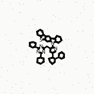 c1ccc(-c2nc(Cc3cc(-c4ccccc4-c4ccccc4)cnc3-n3c4ccccc4c4cc5c(cc43)sc3ccccc35)nc(-c3ccccc3)n2)cc1